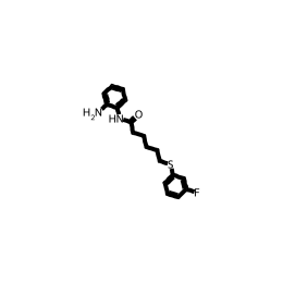 Nc1ccccc1NC(=O)CCCCCSc1cccc(F)c1